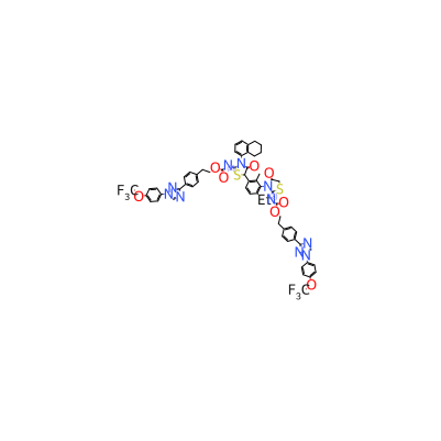 CCc1ccc(C2S/C(=N\C(=O)OCCc3ccc(-c4ncn(-c5ccc(OC(F)(F)F)cc5)n4)cc3)N(c3cccc4c3CCCC4)C2=O)c(C)c1N1C(=O)CS/C1=N\C(=O)OCCc1ccc(-c2ncn(-c3ccc(OC(F)(F)F)cc3)n2)cc1